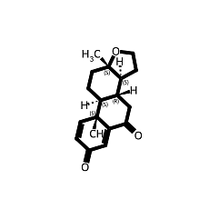 C[C@]12C=CC(=O)C=C1C(=O)C[C@@H]1[C@@H]2CC[C@]2(C)OCC[C@@H]12